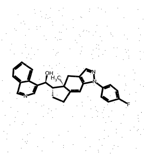 C[C@]12Cc3cnn(-c4ccc(F)cc4)c3C=C1CC[C@@H]2[C@H](O)c1cncc2ccccc12